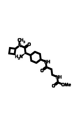 COC(=O)NCCC(=O)NC1CCC([C@H](N)C(=O)N(C)C2CCC2)CC1